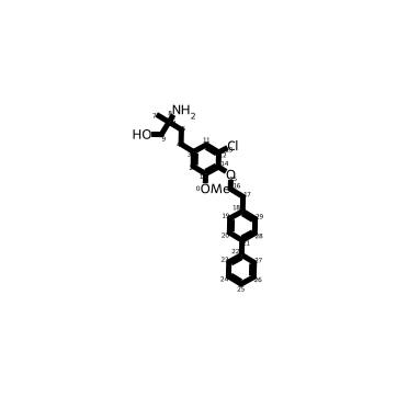 COc1cc(CCC(C)(N)CO)cc(Cl)c1OCCc1ccc(-c2ccccc2)cc1